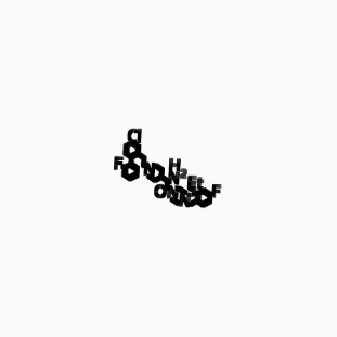 CCSc1cc(F)ccc1CN1CCN(C(=O)[C@H](N)C2CCN(CCc3cc(Cl)ccc3-c3ccccc3F)CC2)CC1